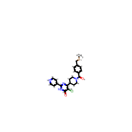 CSCc1ccc(C(=O)N2CCC(c3nc(-c4ccncc4)[nH]c(=O)c3Cl)CC2)cc1